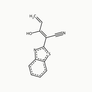 C=C/C(O)=C(\C#N)c1nc2ccccc2s1